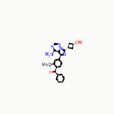 COc1cc(-c2nc([C@H]3C[C@@H](O)C3)n3ncnc(N)c23)ccc1C(=O)c1ccccc1